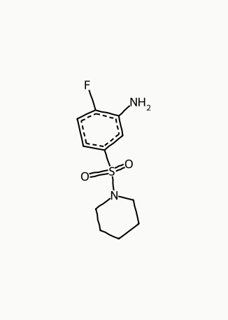 Nc1cc(S(=O)(=O)N2CCCCC2)ccc1F